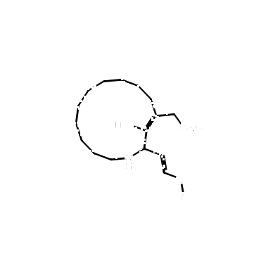 CCCOC=CC1NCCCCCCCCCC/C(COC)=C/1C